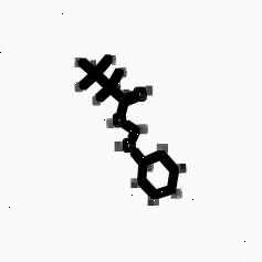 CC(C)(C)C(C)(C)C(=O)OCOC1CCCCC1